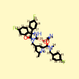 Cc1cc(CN2C(=O)C(c3ccc(F)cc3)(c3ccc(F)cc3)NC2=BOC#N)cc(C(=O)N(C)Cc2ccc(F)cc2)n1